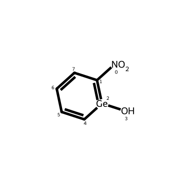 O=[N+]([O-])[C]1=[Ge]([OH])[CH]=CC=C1